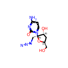 [N-]=[N+]=NC[C@@]1(n2ccc(N)nc2=O)O[C@H](CO)C[C@H]1O